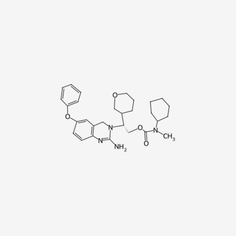 CN(C(=O)OC[C@@H](C1CCCOC1)N1Cc2cc(Oc3ccccc3)ccc2N=C1N)C1CCCCC1